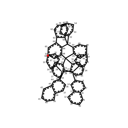 c1ccc(N(c2ccc3ccccc3c2)c2ccccc2C2(c3ccccc3N(c3ccccc3)c3ccc4ccccc4c3)c3ccccc3C3(c4ccccc4)c4ccccc4-c4cccc2c43)cc1